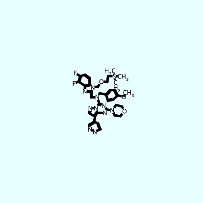 COc1ccc(CN(Cc2nc3c(F)c(F)ccc3n2COCCS(C)(C)C)c2nc(N3CCOCC3)nc3c(-c4ccnnc4)cnn23)cc1